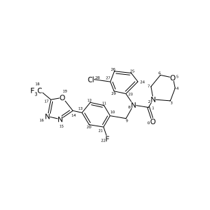 O=C(N1CCOCC1)N(Cc1ccc(-c2nnc(C(F)(F)F)o2)cc1F)c1cccc(Cl)c1